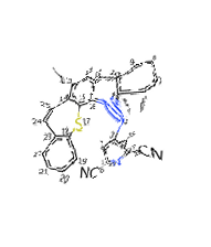 N#Cc1cc(-n2c3ccccc3c3ccc4c(c32)Sc2ccccc2C=C4)cc(C#N)n1